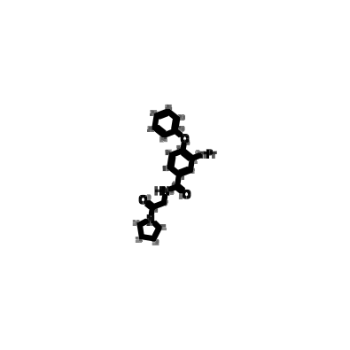 CCCc1cc(C(=O)NCC(=O)N2CCCC2)ccc1Oc1ccccc1